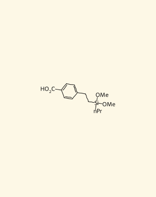 CCC[Si](CCc1ccc(C(=O)O)cc1)(OC)OC